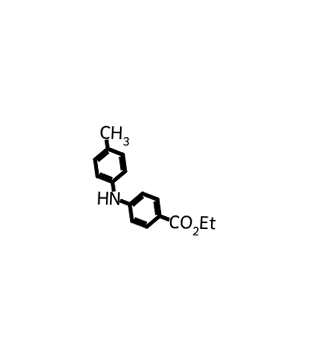 CCOC(=O)c1ccc(Nc2ccc(C)cc2)cc1